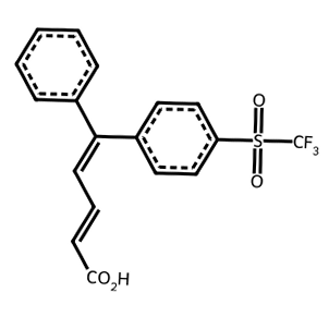 O=C(O)/C=C/C=C(/c1ccccc1)c1ccc(S(=O)(=O)C(F)(F)F)cc1